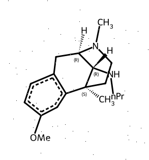 CCCN[C@H]1[C@H]2Cc3ccc(OC)cc3[C@]1(C)CCN2C